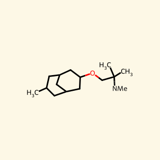 CNC(C)(C)COC1CC2CC(C)CC(C2)C1